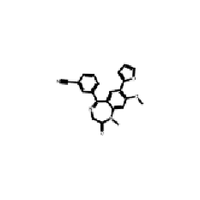 COc1cc2c(cc1-c1ccco1)C(c1cccc(C#N)c1)=NCC(=O)N2C